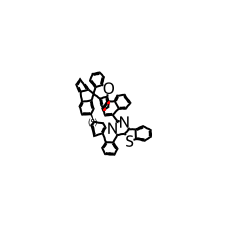 C1=C[C@@H](c2ccc3c(c2)C2(C4=CCCC=C4Oc4ccccc42)c2ccccc2-3)CC=C1c1ccccc1C1N=C(c2cccc3ccccc23)N=C2c3ccccc3SC21